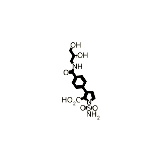 NS(=O)(=O)n1ccc(-c2ccc(C(=O)NC[C@H](O)CO)cc2)c1C(=O)O